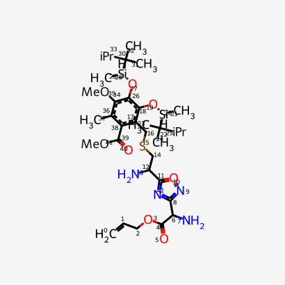 C=CCOC(=O)C(N)c1noc(C(N)CSCc2c(O[SiH](C)C(C)(C)C(C)C)c(O[SiH](C)C(C)(C)C(C)C)c(OC)c(C)c2C(=O)OC)n1